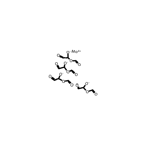 O=COC([O-])C=O.O=COC([O-])C=O.O=COC([O-])C=O.O=COC([O-])C=O.[Mo+4]